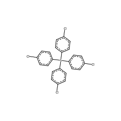 Clc1ccc(S(c2ccc(Cl)cc2)(c2ccc(Cl)cc2)c2ccc(Cl)cc2)cc1